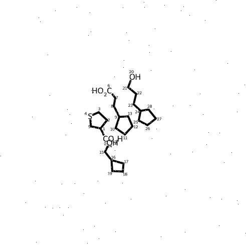 O=C(O)C1CCSC1.O=C(O)CCC1CCCC1.OCC1CCC1.OCCCC1CCCC1